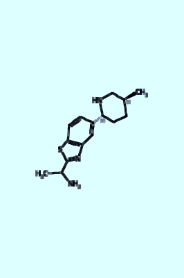 CC(N)c1nc2cc([C@H]3CC[C@H](C)CN3)ccc2s1